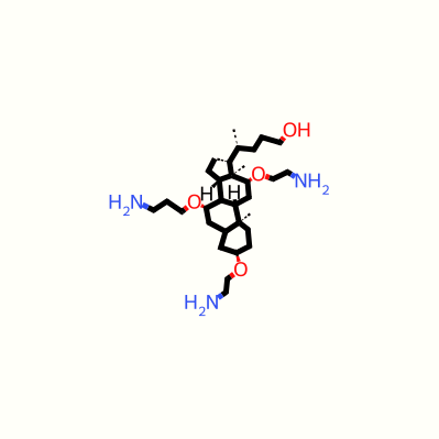 C[C@H](CCCO)[C@H]1CC[C@H]2C3[C@H](OCCCN)CC4C[C@H](OCCN)CC[C@]4(C)[C@H]3C[C@H](OCCN)[C@]12C